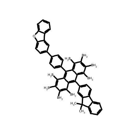 Bc1c(B)c(B)c2c(-c3ccc4c(c3)C(C)(C)c3ccccc3-4)c3c(B)c(B)c(B)c(B)c3c(-c3ccc(-c4ccc5oc6ccccc6c5c4)cc3)c2c1B